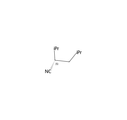 CC(C)C[C@H](C#N)C(C)C